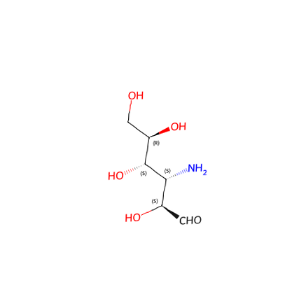 N[C@@H]([C@H](O)[C@H](O)CO)[C@H](O)C=O